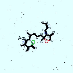 C=C(Cl)C(=C)/C(C)=C(\CC(C)CCCC1(C)OCC(=C)/C1=C\C=C/C)C(C)=O